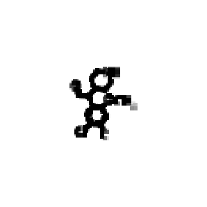 COc1cc(Cl)c(Cl)cc1C(C=O)C1CCNCC1